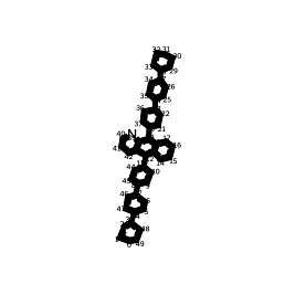 c1ccc(-c2ccc(-c3ccc(-c4c5ccccc5c(-c5ccc(-c6ccc(-c7ccccc7)cc6)cc5)c5ncccc45)cc3)cc2)cc1